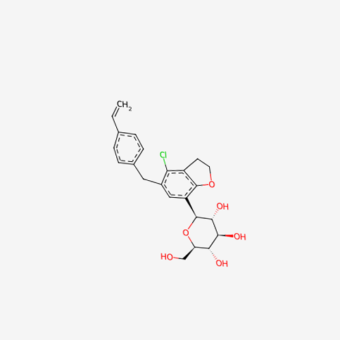 C=Cc1ccc(Cc2cc([C@@H]3O[C@H](CO)[C@@H](O)[C@H](O)[C@H]3O)c3c(c2Cl)CCO3)cc1